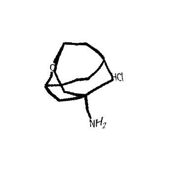 Cl.NC12CCC3CC(CC(C3)C1)C2